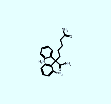 NC(=O)CCCCC(C(N)=O)(c1ccccc1N)c1ccccc1N